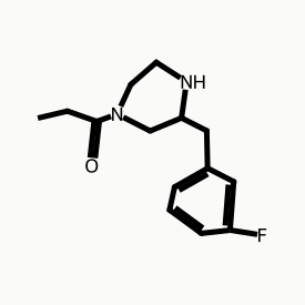 CCC(=O)N1CCNC(Cc2cccc(F)c2)C1